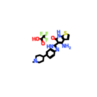 CN1CCC(c2ccc3nc(-c4c(N)c5ccsc5[nH]c4=O)[nH]c3c2)CC1.O=C(O)C(F)(F)F